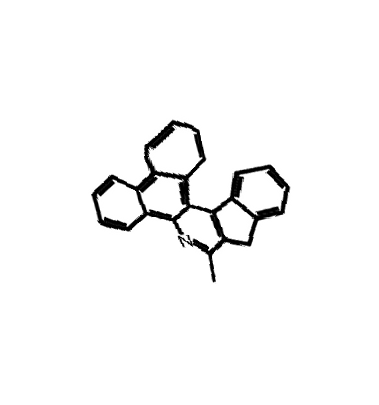 Cc1nc2c3ccccc3c3ccccc3c2c2c1Cc1ccccc1-2